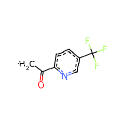 [CH2]C(=O)c1ccc(C(F)(F)F)cn1